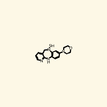 SN1Cc2cccnc2Nc2ccc(N3CCOCC3)cc21